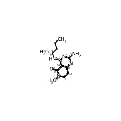 CCC[C@@H](C)Nc1nc(N)nc2ccn(C)c(=O)c12